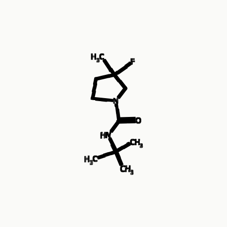 CC1(F)CCN(C(=O)NC(C)(C)C)C1